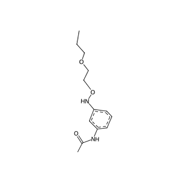 CCCOCCONc1cccc(NC(C)=O)c1